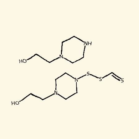 OCCN1CCN(SSC=S)CC1.OCCN1CCNCC1